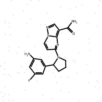 NC(=O)c1cnn2ccc(N3CCCC3c3cc(N)cc(F)c3)nc12